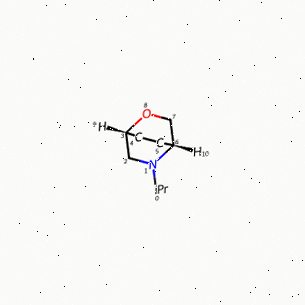 CC(C)N1C[C@H]2CC[C@@H]1CO2